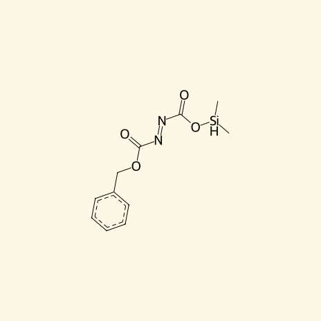 C[SiH](C)OC(=O)N=NC(=O)OCc1ccccc1